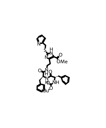 COC(=O)c1[nH]c(SCc2ccccn2)nc1CCNC(=O)[C@H](Cc1ccccc1)NC(=O)[C@H](Cc1ccccc1)NC(=O)OC(C)(C)C